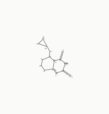 O=c1nc2n(c(=O)[nH]1)C(CC1CO1)CCC2